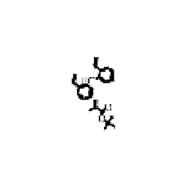 C=C(C)C(=O)OC(C)(C)C.C=Cc1ccccc1.C=Cc1ccccc1O